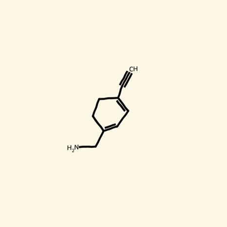 C#CC1=CC=C(CN)CC1